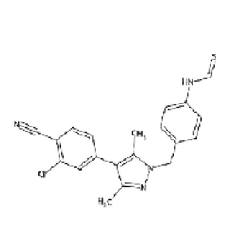 Cc1nn(Cc2ccc(NC=S)cc2)c(C)c1-c1ccc(C#N)c(Cl)c1